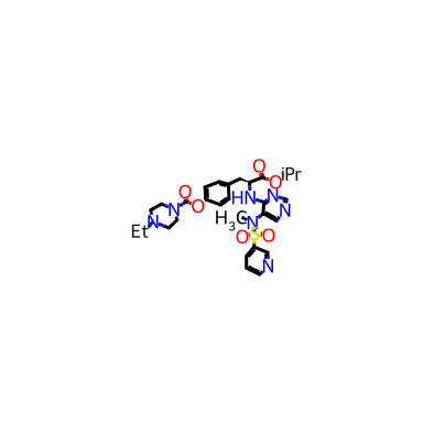 CCN1CCN(C(=O)Oc2ccc(C[C@H](Nc3ncncc3N(C)S(=O)(=O)c3cccnc3)C(=O)OC(C)C)cc2)CC1